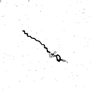 CCCCCCCCCCCCCCCCOC(=O)Nc1ccc(N)cc1